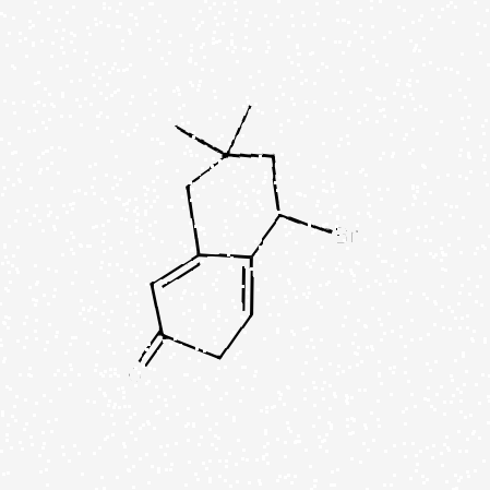 CC1(C)CC2=CC(=O)CC=C2C(Br)C1